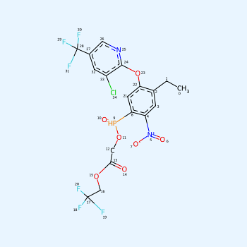 CCc1cc([N+](=O)[O-])c([PH](=O)OCC(=O)OCC(F)(F)F)cc1Oc1ncc(C(F)(F)F)cc1Cl